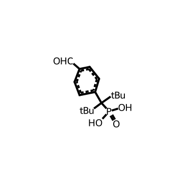 CC(C)(C)C(c1ccc(C=O)cc1)(C(C)(C)C)P(=O)(O)O